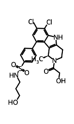 C[C@H]1c2c([nH]c3c(Cl)c(Cl)cc(-c4ccc(S(=O)(=O)NCCCO)cc4)c23)CCN1C(=O)CO